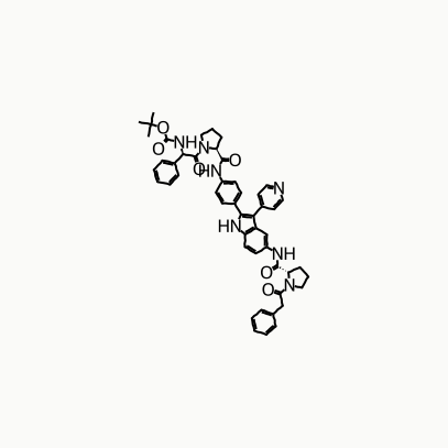 CC(C)(C)OC(=O)N[C@@H](C(=O)N1CCC[C@H]1C(=O)Nc1ccc(-c2[nH]c3ccc(NC(=O)[C@@H]4CCCN4C(=O)Cc4ccccc4)cc3c2-c2ccncc2)cc1)c1ccccc1